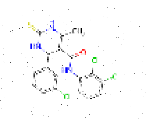 CC1=C(C(=O)Nc2cccc(Cl)c2Cl)C(c2cccc(Cl)c2)NC(=S)N1